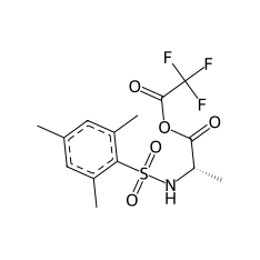 Cc1cc(C)c(S(=O)(=O)N[C@@H](C)C(=O)OC(=O)C(F)(F)F)c(C)c1